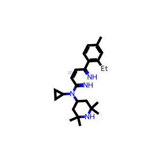 CCc1cc(C)ccc1C(=N)/C=C\C(=N)N(C1CC1)C1CC(C)(C)NC(C)(C)C1